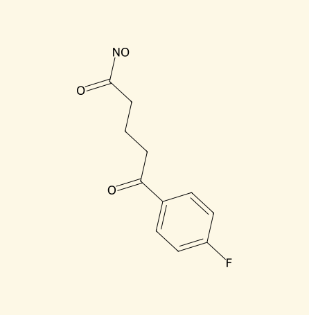 O=NC(=O)CCCC(=O)c1ccc(F)cc1